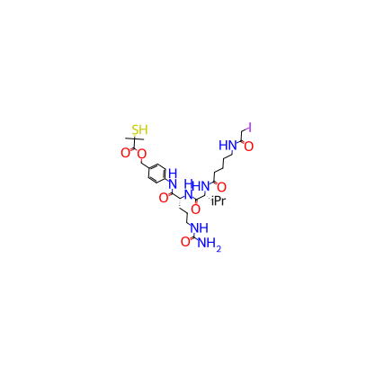 CC(C)[C@@H](NC(=O)CCCCNC(=O)CI)C(=O)N[C@H](CCCNC(N)=O)C(=O)Nc1ccc(COC(=O)C(C)(C)S)cc1